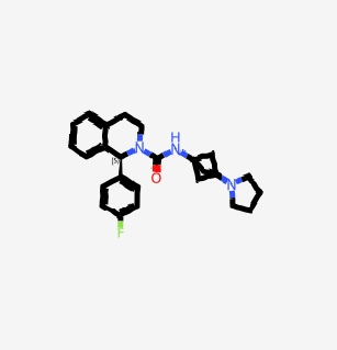 O=C(NC12CC(N3CCCC3)(C1)C2)N1CCc2ccccc2[C@@H]1c1ccc(F)cc1